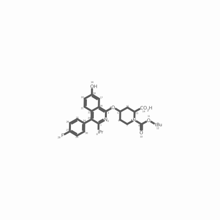 CC(C)c1nc(OC2CCN(C(=O)OC(C)(C)C)C(C(=O)O)C2)c2cc(O)ccc2c1-c1ccc(F)cc1